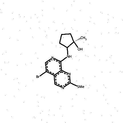 CSc1ncc2c(Br)cnc(NC3CCC[C@@]3(C)O)c2n1